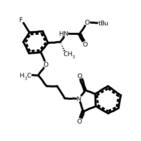 CC(CCCN1C(=O)c2ccccc2C1=O)Oc1ccc(F)cc1[C@@H](C)NC(=O)OC(C)(C)C